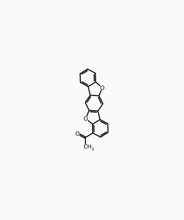 CC(=O)c1cccc2c1oc1cc3c(cc12)oc1ccccc13